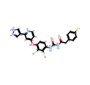 O=C(Cc1ccc(F)cc1)NC(=O)Nc1ccc(Oc2ccnc(-c3cn[nH]c3)c2)c(F)c1F